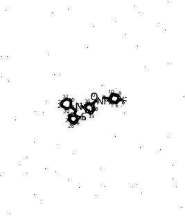 O=C(NCc1ccc(F)cc1)c1ccc2c(c1)N=C(C1CCCCC1)c1ccccc1S2